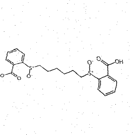 O=C(O)c1ccccc1[S+]([O-])CCCCCC[S+]([O-])c1ccccc1C(=O)O